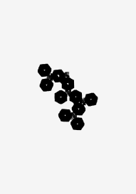 C1=C(N(c2ccccc2)c2ccccc2)CCc2sc3ccc(N(c4ccccc4)c4ccc5c(c4)c4cc(N(c6ccccc6)c6ccccc6)ccc4n5-c4ccccc4)cc3c21